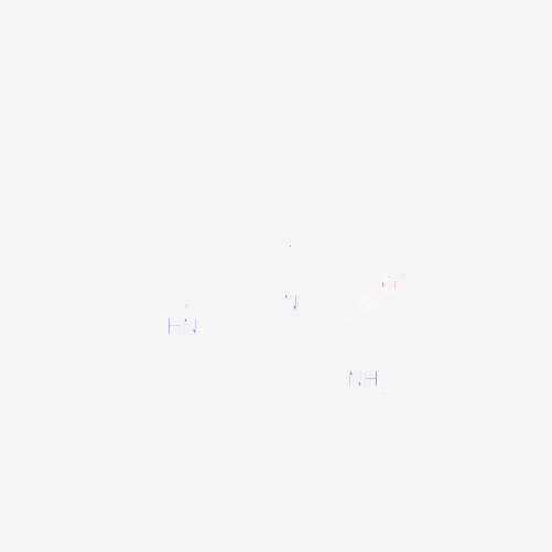 NC(=O)N(c1ccccc1)c1ccc[nH]1